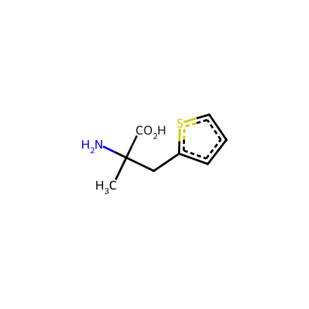 CC(N)(Cc1cccs1)C(=O)O